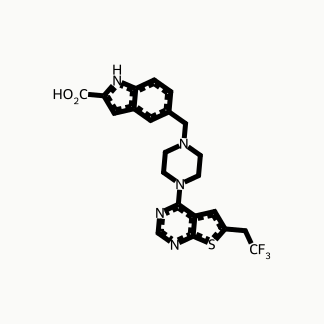 O=C(O)c1cc2cc(CN3CCN(c4ncnc5sc(CC(F)(F)F)cc45)CC3)ccc2[nH]1